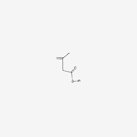 C=C(C)CC(=O)OC(C)C